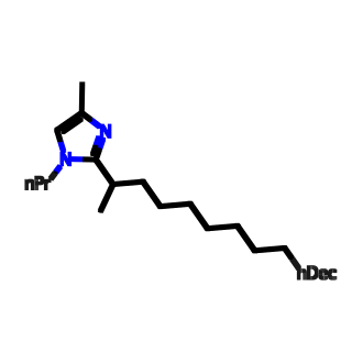 CCCCCCCCCCCCCCCCCC(C)c1nc(C)cn1CCC